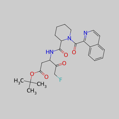 CC(C)(C)OC(=O)CC(NC(=O)C1CCCCN1C(=O)c1nccc2ccccc12)C(=O)CF